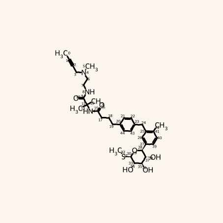 CC#CCN(C)CCNC(=O)C(C)(C)NC(=O)CCCc1ccc(Cc2cc([C@@H]3O[C@H](SC)[C@@H](O)[C@H](O)[C@H]3O)ccc2C)cc1